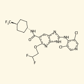 O=C(N[C@H]1CC[C@H](C(F)(F)F)CC1)c1cc2nc(Nc3c(Cl)cncc3Cl)[nH]c2nc1OCC(F)F